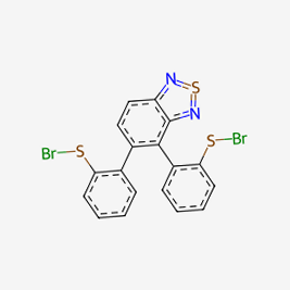 BrSc1ccccc1-c1ccc2nsnc2c1-c1ccccc1SBr